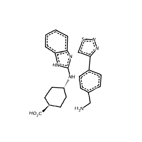 NCc1ccc(-c2csnn2)cc1.O=C(O)[C@H]1CC[C@H](Nc2nc3ccccc3[nH]2)CC1